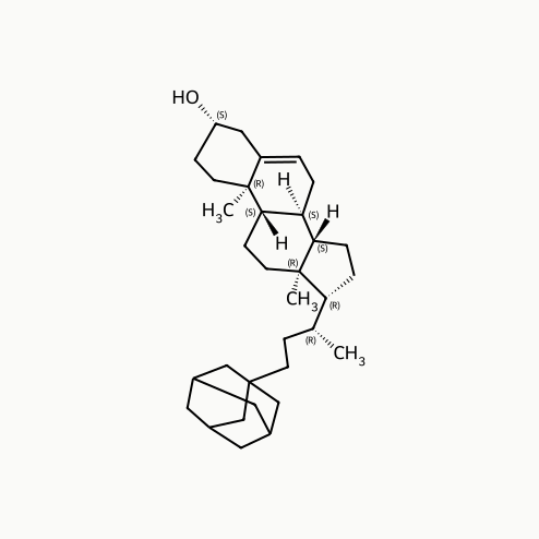 C[C@H](CCC12CC3CC(CC(C3)C1)C2)[C@H]1CC[C@H]2[C@@H]3CC=C4C[C@@H](O)CC[C@]4(C)[C@H]3CC[C@]12C